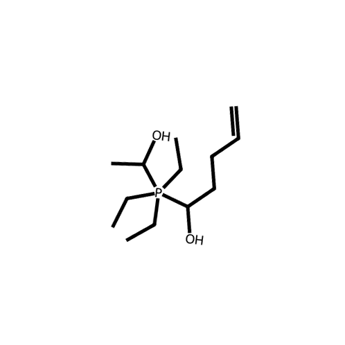 C=CCCC(O)P(CC)(CC)(CC)C(C)O